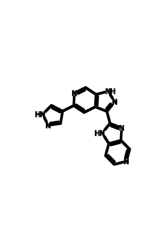 c1cc2[nH]c(-c3n[nH]c4cnc(-c5cn[nH]c5)cc34)nc2cn1